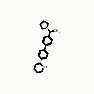 CC(c1ccc(-c2ccc([C@H]3CCCCN3)cc2)cc1)N1CCCC1